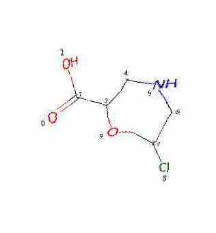 O=C(O)C1CNCC(Cl)O1